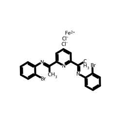 C/C(=N\c1ccccc1Br)c1cccc(/C(C)=N/c2ccccc2Br)n1.[Cl-].[Cl-].[Fe+2]